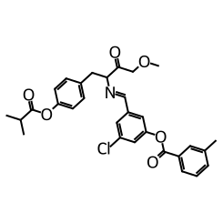 COCC(=O)C(Cc1ccc(OC(=O)C(C)C)cc1)N=Cc1cc(Cl)cc(OC(=O)c2cccc(C)c2)c1